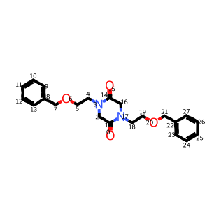 O=C1CN(CCOCc2ccccc2)C(=O)CN1CCOCc1ccccc1